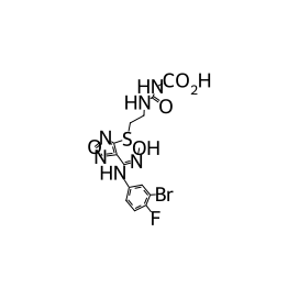 O=C(O)NC(=O)NCCSc1nonc1C(=NO)Nc1ccc(F)c(Br)c1